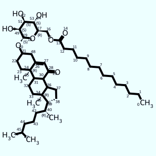 CCCCCCCCCCCCCC(=O)OC[C@H]1O[C@H](OC2CC[C@@]3(C)C(=CC(=O)C4C3CC[C@@]3(C)C4CC[C@@H]3[C@H](C)CCCC(C)C)C2)[C@@H](O)[C@@H](O)[C@@H]1O